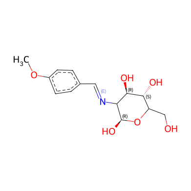 COc1ccc(/C=N/C2[C@H](O)OC(CO)[C@@H](O)[C@@H]2O)cc1